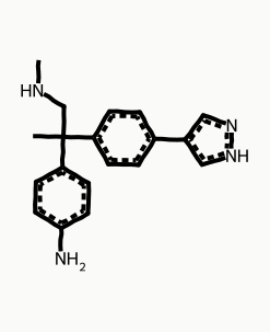 CNCC(C)(c1ccc(N)cc1)c1ccc(-c2cn[nH]c2)cc1